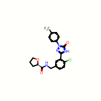 O=C(NCc1ccc(Cl)c(-c2nn(-c3ccc(C(F)(F)F)cc3)c(=O)[nH]2)c1)[C@H]1CCCO1